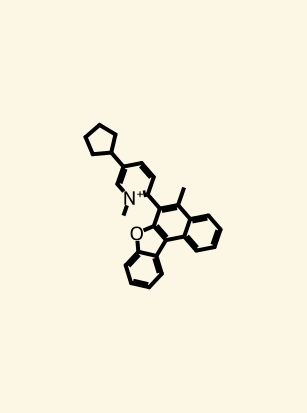 Cc1c(-c2ccc(C3CCCC3)c[n+]2C)c2oc3ccccc3c2c2ccccc12